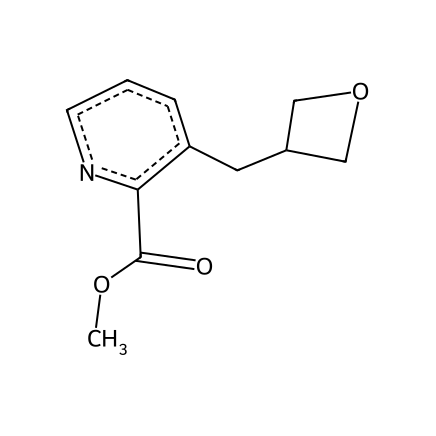 COC(=O)c1ncccc1CC1COC1